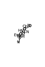 CCOc1ccc2c(Nc3ccc(OCc4ccccn4)c(Cl)c3)c(C#N)cnc2c1NC(=O)/C=C/CN(C)C